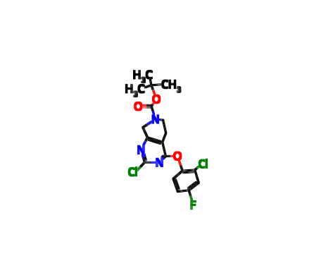 CC(C)(C)OC(=O)N1CCc2c(nc(Cl)nc2Oc2ccc(F)cc2Cl)C1